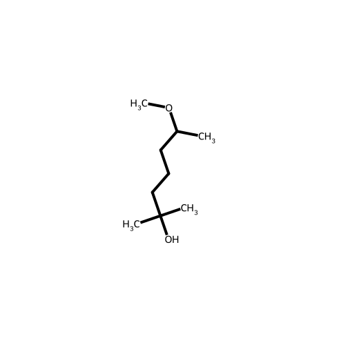 COC(C)CCCC(C)(C)O